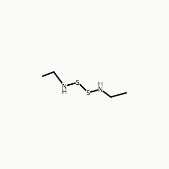 CCNSSNCC